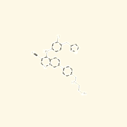 N#Cc1cnc2cc(-c3ccc(CNCCO)cc3)ccc2c1Nc1ccc(Cc2ccoc2)c(Cl)c1